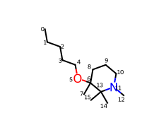 CCCCCOC1(C)CCCN(C)C1(C)C